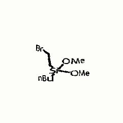 CCCC[Si](CCBr)(OC)OC